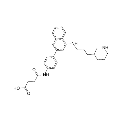 O=C(O)CCC(=O)Nc1ccc(-c2cc(NCCCC3CCCNC3)c3ccccc3n2)cc1